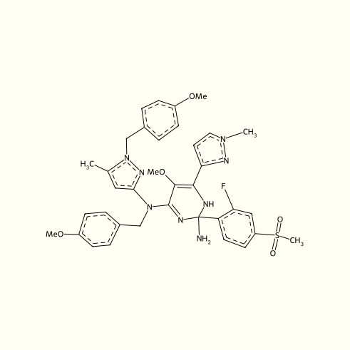 COC1=C(c2ccn(C)n2)NC(N)(c2ccc(S(C)(=O)=O)cc2F)N=C1N(Cc1ccc(OC)cc1)c1cc(C)n(Cc2ccc(OC)cc2)n1